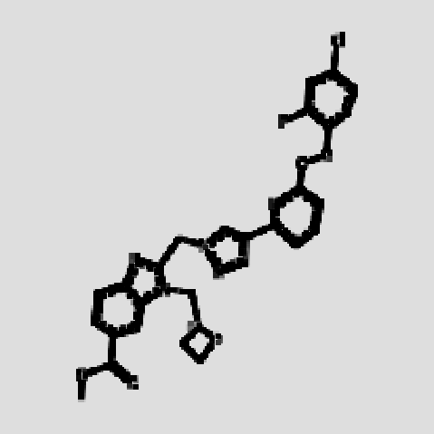 COC(=O)c1ccc2nc(Cn3cc(-c4cccc(OOc5ccc(Cl)cc5F)n4)cn3)n(C[C@@H]3CCO3)c2c1